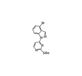 CSc1nccc(-n2ncc3c(Br)cccc32)n1